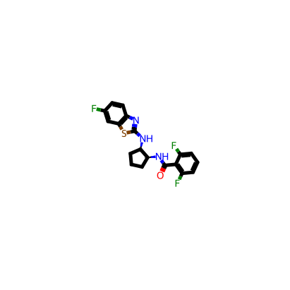 O=C(N[C@H]1CCC[C@H]1Nc1nc2ccc(F)cc2s1)c1c(F)cccc1F